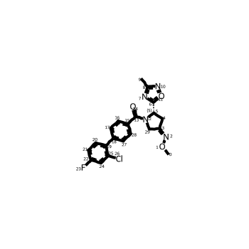 CON=C1C[C@@H](c2nc(C)no2)N(C(=O)c2ccc(-c3ccc(F)cc3Cl)cc2)C1